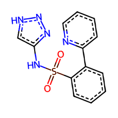 O=S(=O)(Nc1c[nH]nn1)c1ccccc1-c1ccccn1